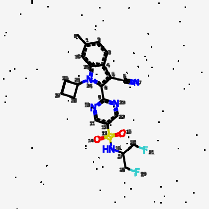 Cc1ccc2c(C#N)c(-c3ncc(S(=O)(=O)NC(CF)CF)cn3)n(C3CCC3)c2c1